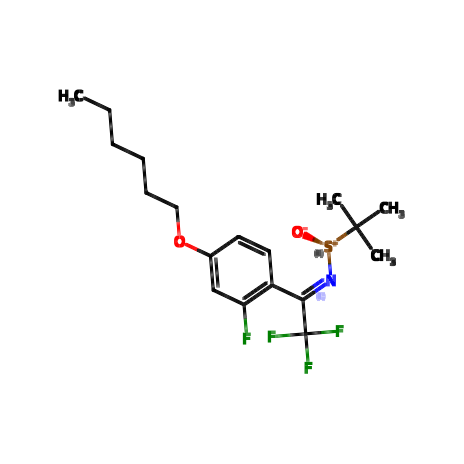 CCCCCCOc1ccc(/C(=N\[S@@+]([O-])C(C)(C)C)C(F)(F)F)c(F)c1